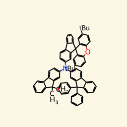 CC(C)(C)c1ccc2c(c1)C1(c3cc(C(C)(C)C)ccc3O2)c2ccccc2-c2ccc(N(c3ccc4c(c3)C(C)(C)c3ccccc3-4)c3ccc4c(c3)C(c3ccccc3)(c3ccccc3)c3ccccc3-4)cc21